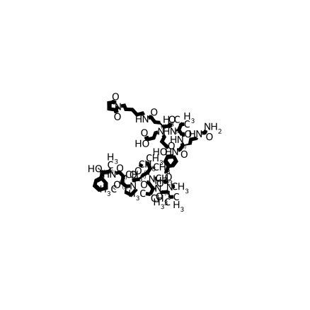 CC[C@H](C)[C@@H]([C@@H](CC(=O)N1CCC[C@H]1[C@H](OC)[C@@H](C)C(=O)N[C@H](C)[C@@H](O)c1ccccc1)OC)N(C)C(=O)[C@@H](NC(=O)[C@H](C(C)C)N(C)C(=O)OCc1ccc(NC(=O)[C@H](CCCNC(N)=O)NC(=O)[C@@H](NC(=O)[C@H](CCC(=O)NCCCCCN2C(=O)C=CC2=O)N(CCC(=O)O)CCC(=O)O)C(C)C)cc1)C(C)C